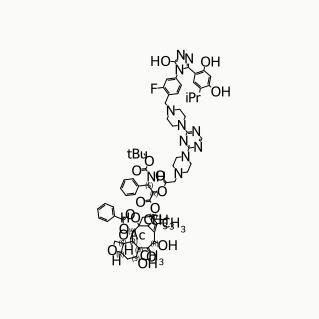 CC(=O)O[C@@]12CO[C@@H]1C[C@H](O)[C@@]1(C)C(=O)[C@H](O)C3=C(C)[C@@H](OC(=O)[C@H](OC(=O)CN4CCN(c5ncnc(N6CCN(Cc7ccc(-n8c(O)nnc8-c8cc(C(C)C)c(O)cc8O)cc7F)CC6)n5)CC4)[C@@H](NC(=O)OC(C)(C)C)c4ccccc4)CC(O)([C@@H](OC(=O)c4ccccc4)[C@H]21)C3(C)C